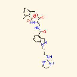 Cc1cccc(C)c1S(=O)(=O)NC(CNC(=O)c1cccc2c1cnn2CCCNC1N=CCCN1)C(=O)O